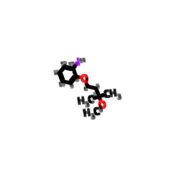 COC(C)(C)CCOc1ccccc1I